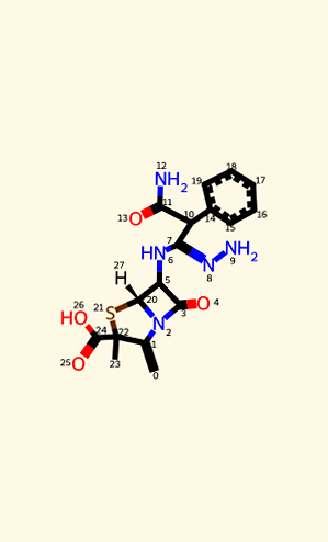 C=C1N2C(=O)C(NC(=NN)C(C(N)=O)c3ccccc3)[C@H]2SC1(C)C(=O)O